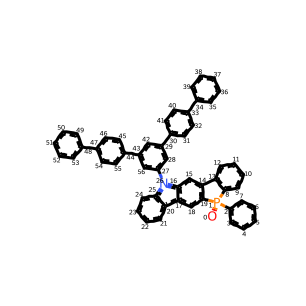 O=P1(c2ccccc2)c2ccccc2-c2cc3c(cc21)c1ccccc1n3-c1cc(-c2ccc(-c3ccccc3)cc2)cc(-c2ccc(-c3ccccc3)cc2)c1